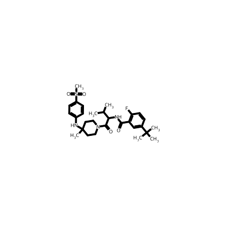 CC(C)C(NC(=O)c1cc(C(C)(C)C)ccc1F)C(=O)N1CCC(C)(Nc2ccc(S(C)(=O)=O)cc2)CC1